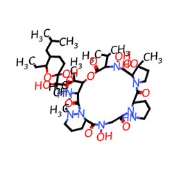 CCC1OC(O)(C(C)(O)C(=O)NC2C(=O)N3C(CCCN3C)C(=O)N(O)CC(=O)N3NCCCC3C(=O)N3CCC(C)(O)C3C(=O)N(O)C(C(C)C)C(=O)OC2C(C)C)CCC1CC(C)C